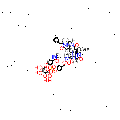 CCNC(=O)c1ccc(OC2O[C@H](CO)[C@H](O)[C@H](O)[C@H]2O)c(OS(=O)(=O)Oc2ccc(COC(=O)N(C)[C@H](C(=O)N[C@H](C(=O)N(C)[C@@H](C(C)CC)[C@@H](CC(=O)N3CCC[C@H]3[C@H](OC)[C@@H](C)C(=O)NC(Cc3ccccc3)C(=O)O)OC)C(C)C)C(C)C)cc2)c1